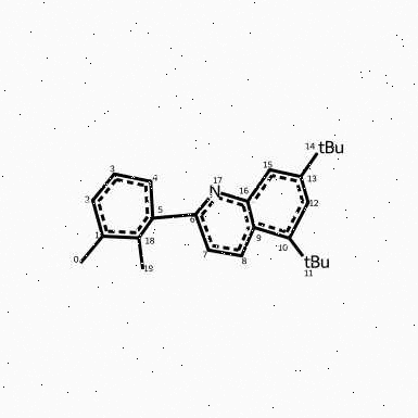 Cc1cccc(-c2ccc3c(C(C)(C)C)cc(C(C)(C)C)cc3n2)c1C